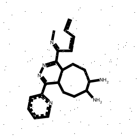 C=C/C=C\C(=N/C)C1=NN=C(c2ccccn2)C2CCC(N)C(N)CCC12